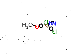 CCCCOc1ccc(CSC(c2ccc(Cl)cc2)C(Cl)n2ccnc2)cc1